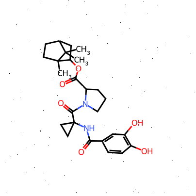 CC1(C)C2CCC1(C)C(OC(=O)C1CCCN1C(=O)C1(NC(=O)c3ccc(O)c(O)c3)CC1)C2